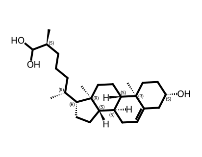 C[C@H](CCC[C@H](C)C(O)O)[C@H]1CC[C@H]2[C@@H]3CC=C4C[C@@H](O)CC[C@]4(C)[C@H]3CC[C@]12C